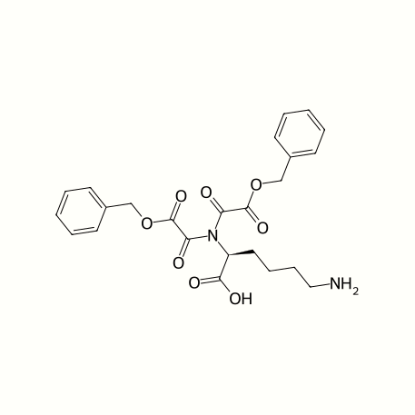 NCCCC[C@@H](C(=O)O)N(C(=O)C(=O)OCc1ccccc1)C(=O)C(=O)OCc1ccccc1